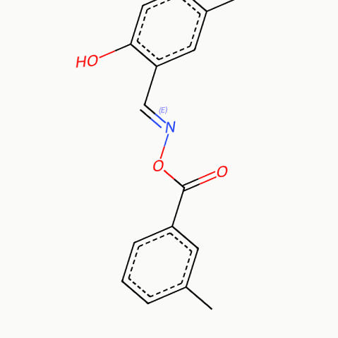 Cc1cccc(C(=O)O/N=C/c2cc(C)ccc2O)c1